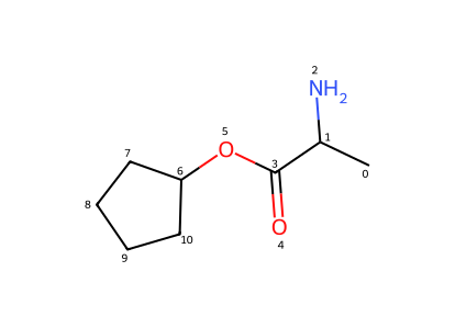 CC(N)C(=O)OC1CCCC1